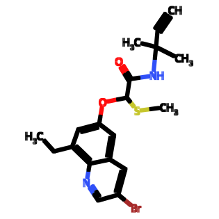 C#CC(C)(C)NC(=O)C(Oc1cc(CC)c2ncc(Br)cc2c1)SC